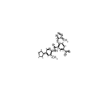 Cc1cc(C2CCCC2)cnc1NC(=O)c1cc([N+](=O)[O-])ccc1Sc1nnnn1C